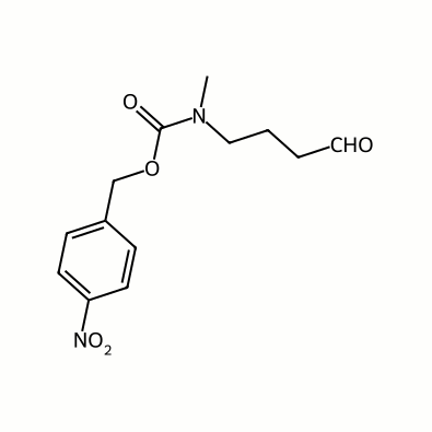 CN(CCCC=O)C(=O)OCc1ccc([N+](=O)[O-])cc1